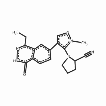 CCc1n[nH]c(=O)c2ccc(-c3cnn(C)c3N3CCCC3C#N)cc12